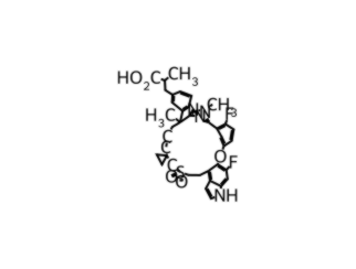 CC(Cc1cccc(C2(C)CCCC3(CC3)CS(=O)(=O)CCc3c(c(F)cc4[nH]ccc34)Oc3ccc(F)c(c3)-c3nc2nn3C)c1)C(=O)O